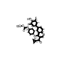 CC(C)(C)OC(=O)N[C@H]1CC[C@H](Nc2c(C(=O)C3CC3)cnc3ccc(-c4cc(F)c(O)c(F)c4)cc23)CC1